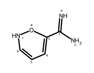 N=C(N)C1=CC=CNO1